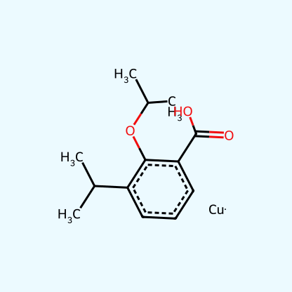 CC(C)Oc1c(C(=O)O)cccc1C(C)C.[Cu]